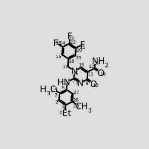 CCc1cc(C)c(Nc2nc(=O)c(C(N)=O)cn2Cc2cc(F)c(F)c(F)c2)cc1C